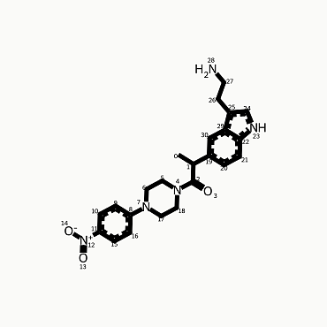 CC(C(=O)N1CCN(c2ccc([N+](=O)[O-])cc2)CC1)c1ccc2[nH]cc(CCN)c2c1